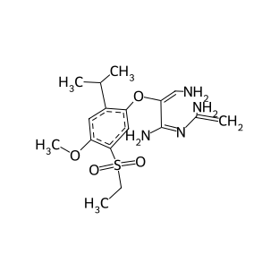 C=C(N)/N=C(N)\C(=C/N)Oc1cc(S(=O)(=O)CC)c(OC)cc1C(C)C